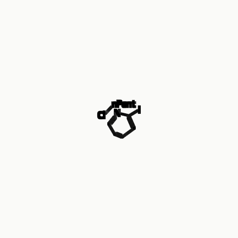 CCCCCCl.Ic1ccccn1